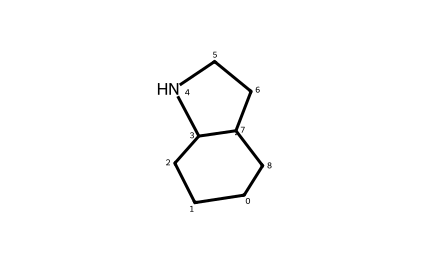 C1CCC2NCC[C]2C1